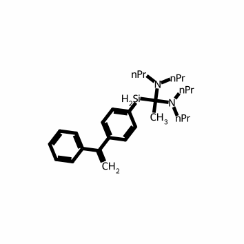 C=C(c1ccccc1)c1ccc([SiH2]C(C)(N(CCC)CCC)N(CCC)CCC)cc1